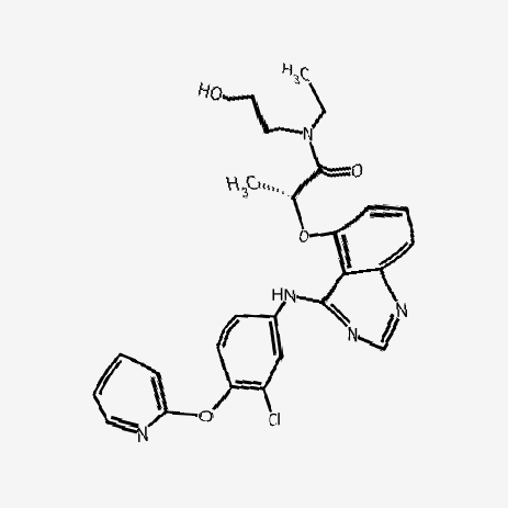 CCN(CCO)C(=O)[C@@H](C)Oc1cccc2ncnc(Nc3ccc(Oc4ccccn4)c(Cl)c3)c12